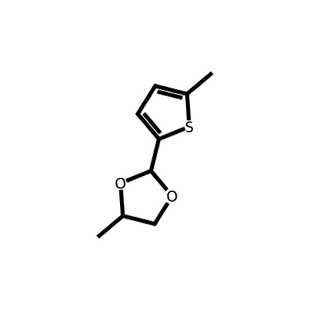 Cc1ccc(C2OCC(C)O2)s1